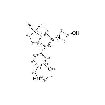 OC1CN(c2nc(-c3ccc4c(c3)OCCNC4)c3c(n2)C(F)(F)CC3)C1